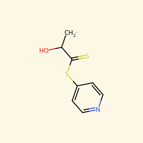 [CH2]C(O)C(=S)Sc1ccncc1